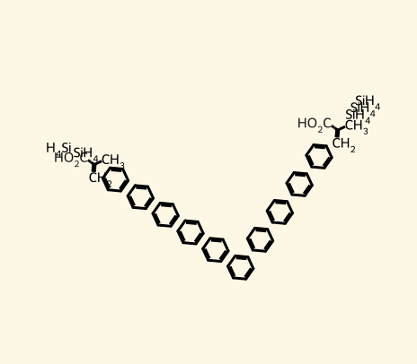 C=C(C)C(=O)O.C=C(C)C(=O)O.[SiH4].[SiH4].[SiH4].[SiH4].[SiH4].c1ccccc1.c1ccccc1.c1ccccc1.c1ccccc1.c1ccccc1.c1ccccc1.c1ccccc1.c1ccccc1.c1ccccc1.c1ccccc1